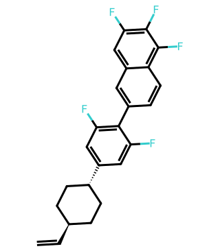 C=C[C@H]1CC[C@H](c2cc(F)c(-c3ccc4c(F)c(F)c(F)cc4c3)c(F)c2)CC1